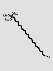 CO[Si](CCCCCCCCCCCCCCCCCN=C=O)(OC)OC